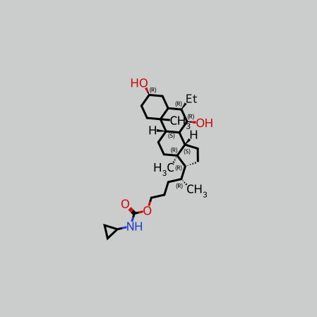 CC[C@@H]1C2C[C@H](O)CCC2(C)[C@H]2CC[C@]3(C)[C@@H]([C@H](C)CCCOC(=O)NC4CC4)CC[C@H]3C2[C@@H]1O